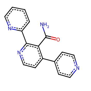 NC(=O)c1c(-c2ccncc2)ccnc1-c1ccccn1